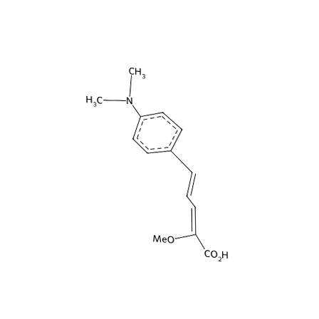 CO/C(=C\C=C\c1ccc(N(C)C)cc1)C(=O)O